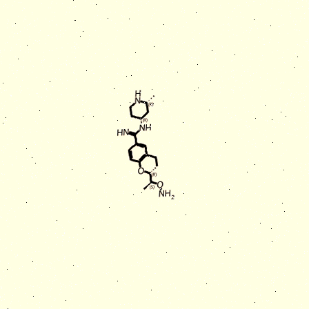 C[C@@H]1C[C@H](NC(=N)c2ccc3c(c2)CC[C@H]([C@H](C)ON)O3)CCN1